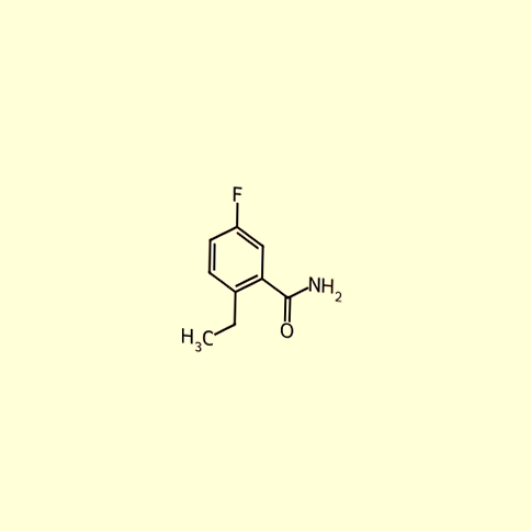 CCc1ccc(F)cc1C(N)=O